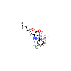 CCCCCCC(N)(C(=O)O)C(=O)c1cc(Cl)ccc1O